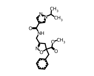 COC(=O)C1(Cc2ccccc2)CC(CNC(=O)c2cnn(C(C)C)c2)=NO1